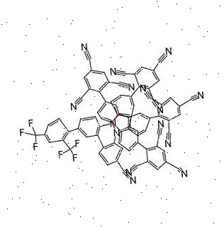 N#Cc1cc(C#N)c(-c2ccc3c(c2)c2cc(-c4c(C#N)cc(C#N)cc4C#N)ccc2n3-c2ccc(-c3ccc(C(F)(F)F)cc3C(F)(F)F)cc2-c2ccc(C#N)cc2-n2c3ccc(-c4c(C#N)cc(C#N)cc4C#N)cc3c3cc(-c4c(C#N)cc(C#N)cc4C#N)ccc32)c(C#N)c1